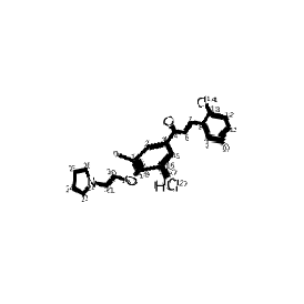 Cc1cc(C(=O)C=Cc2ccccc2Cl)cc(C)c1OCCN1CCCC1.Cl